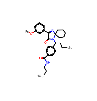 CC(C)Oc1cccc(C2=NC3(CCCCC3)N([C@H](CCC(C)(C)C)c3ccc(C(=O)NCCC(=O)O)cc3)C2=O)c1